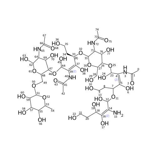 CC(=O)N/C(=C(\O)C(CCO)OC(O)/C(N)=C(/O)C(O)CCO)C(O)OC1C(CO)OC(O[C@H](CCO)/C(O)=C(/NC(C)=O)C(O)OC2C(COC3OC(C)C(O)C(O)C3O)OC(O)C(NC(C)=O)C2O)C(NC(C)=O)C1O